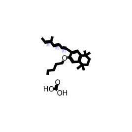 C/C=C(C)/C=C/C=C/c1cc2c(cc1OCCCCC)C(C)(C)CCC2(C)C.O=C(O)O